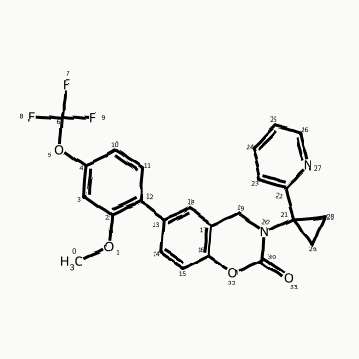 COc1cc(OC(F)(F)F)ccc1-c1ccc2c(c1)CN(C1(c3ccccn3)CC1)C(=O)O2